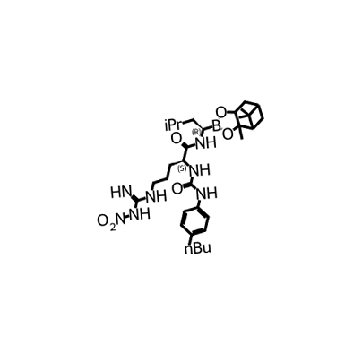 CCCCc1ccc(NC(=O)N[C@@H](CCCNC(=N)N[N+](=O)[O-])C(=O)N[C@@H](CC(C)C)B2OC3CC4CC(C4(C)C)C3(C)O2)cc1